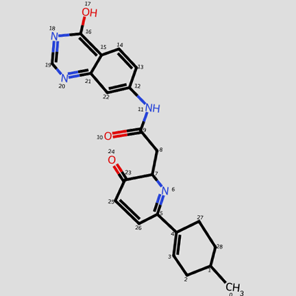 CC1CC=C(C2=NC(CC(=O)Nc3ccc4c(O)ncnc4c3)C(=O)C=C2)CC1